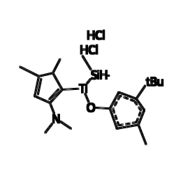 CC1=CC(N(C)C)=[C]([Ti]([O]c2cc(C)cc(C(C)(C)C)c2)[SiH](C)C)C1C.Cl.Cl